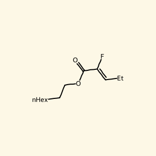 CCC=C(F)C(=O)OCCCCCCCC